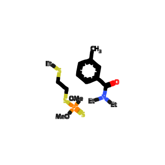 CCN(CC)C(=O)c1cccc(C)c1.CCSCCSP(=S)(OC)OC